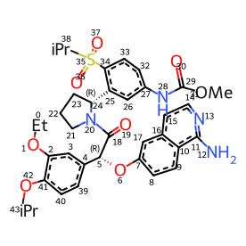 CCOc1cc([C@@H](Oc2ccc3c(N)nccc3c2)C(=O)N2CCC[C@@H]2c2cc(NC(=O)OC)ccc2S(=O)(=O)C(C)C)ccc1OC(C)C